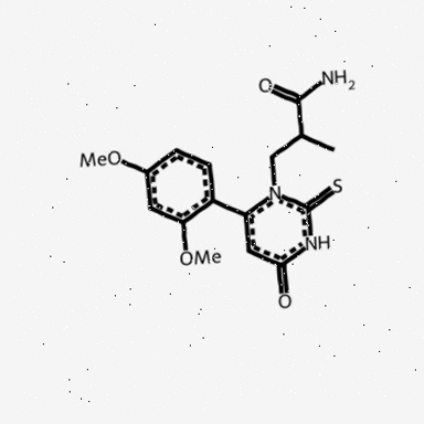 COc1ccc(-c2cc(=O)[nH]c(=S)n2CC(C)C(N)=O)c(OC)c1